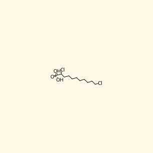 O=P(O)(O)C(Cl)CCCCCCCCCCl